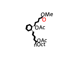 CCCCCCCCC(/C=C/C=C/[C@@H]1CC=CC[C@@H]1C(CCCC(=O)OC)OC(C)=O)OC(C)=O